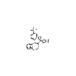 CC(C)(C)c1ccc(C2=C(C(=O)O)CCCn3cccc32)cc1